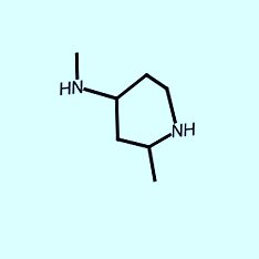 CNC1CCNC(C)C1